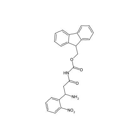 NC(CC(=O)NC(=O)OCC1c2ccccc2-c2ccccc21)c1ccccc1[N+](=O)[O-]